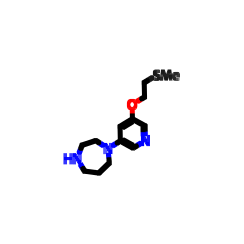 CSCCOc1cncc(N2CCCNCC2)c1